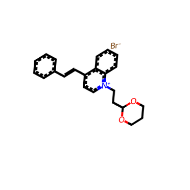 C(=Cc1cc[n+](CCC2OCCCO2)c2ccccc12)c1ccccc1.[Br-]